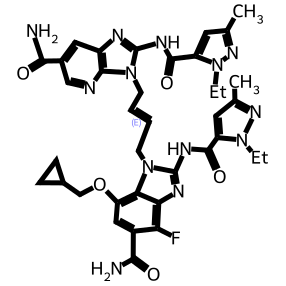 CCn1nc(C)cc1C(=O)Nc1nc2cc(C(N)=O)cnc2n1C/C=C/Cn1c(NC(=O)c2cc(C)nn2CC)nc2c(F)c(C(N)=O)cc(OCC3CC3)c21